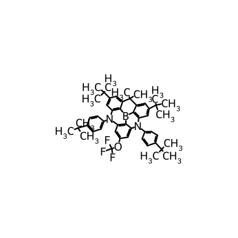 CC(C)(C)c1ccc(N2c3cc(OC(F)(F)F)cc4c3B3c5c2cc(C(C)(C)C)cc5C(C)(C)c2cc(C(C)(C)C)cc(c23)N4c2ccc(C(C)(C)C)cc2)cc1